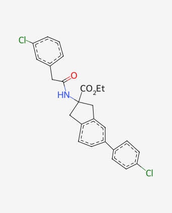 CCOC(=O)C1(NC(=O)Cc2cccc(Cl)c2)Cc2ccc(-c3ccc(Cl)cc3)cc2C1